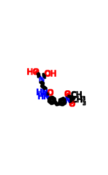 CC1(C)C(=O)N(c2ccc(Cc3ccc(NC(=O)NCCCCN(CCO)CCO)cc3)cc2)C1=O